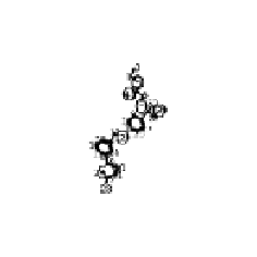 CCOC(=O)COC1(c2ccc(OCc3cccc(-c4ccc(C)s4)c3)cc2)COC1